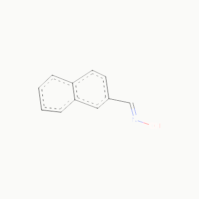 ON=Cc1ccc2ccccc2c1